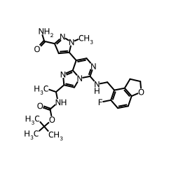 CC(NC(=O)OC(C)(C)C)c1cn2c(NCc3c(F)ccc4c3CCO4)ncc(-c3cc(C(N)=O)nn3C)c2n1